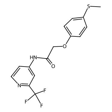 CSc1ccc(OCC(=O)Nc2ccnc(C(F)(F)F)c2)cc1